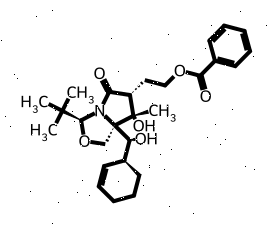 CC(C)(C)[C@@H]1OC[C@]2([C@H](O)[C@@H]3C=CCCC3)N1C(=O)[C@H](CCOC(=O)c1ccccc1)[C@]2(C)O